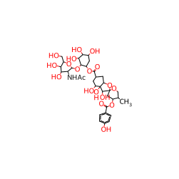 CC(=O)NC1C(OC2C(OC(=O)C3CC(O)C4(O)C(C3)OC3(CC(OC(=O)c5ccc(O)cc5)C(C)CO3)C4O)CC(O)C(O)C2O)OC(CO)C(O)C1O